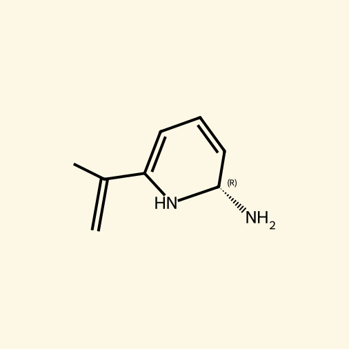 C=C(C)C1=CC=C[C@H](N)N1